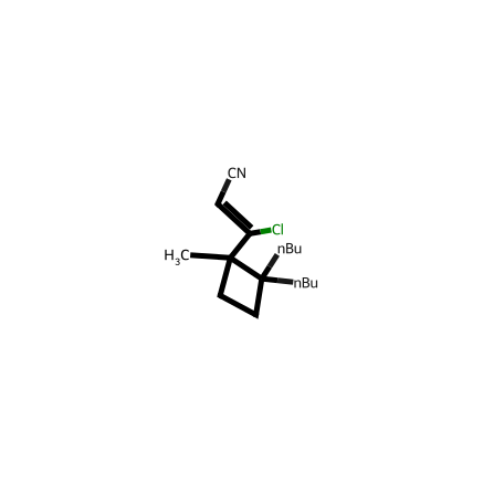 CCCCC1(CCCC)CCC1(C)C(Cl)=CC#N